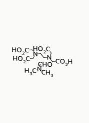 CN(C)C=O.O=C(O)CN(CCN(CC(=O)O)CC(=O)O)CC(=O)O